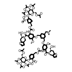 COc1cc(C(=O)N2Cc3ccsc3C[C@H]2CO)c(NC(=O)OCc2ccc(OC3O[C@H](COC(C)=O)[C@H](OC(C)=O)[C@H](OC(C)=O)[C@@H]3OC(C)=O)c([N+](=O)[O-])c2)cc1OCc1cc(COc2cc(NC(=O)OCc3ccc(OC4O[C@H](COC(C)=O)[C@H](OC(C)=O)[C@H](OC(C)=O)[C@@H]4OC(C)=O)c([N+](=O)[O-])c3)c(C(=O)N3Cc4ccsc4C[C@@H]3CO)cc2OC)cc(CN(C)C)c1